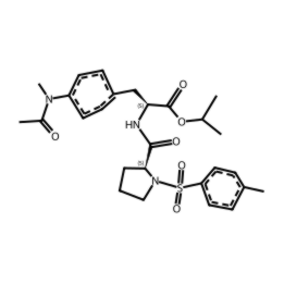 CC(=O)N(C)c1ccc(C[C@H](NC(=O)[C@@H]2CCCN2S(=O)(=O)c2ccc(C)cc2)C(=O)OC(C)C)cc1